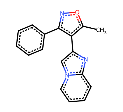 Cc1onc(-c2ccccc2)c1-c1cn2ccccc2n1